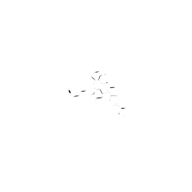 C#C/C=C\C=C(\F)Cc1nc2c(cc1Cl)n(C1CCN(C(=O)C=C)CC1)c(=O)c(=O)n2-c1c(CC)cccc1CC